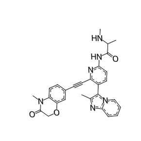 CNC(C)C(=O)Nc1ccc(-c2c(C)nc3ccccn23)c(C#Cc2ccc3c(c2)OCC(=O)N3C)n1